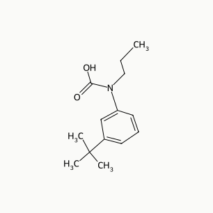 CCCN(C(=O)O)c1cccc(C(C)(C)C)c1